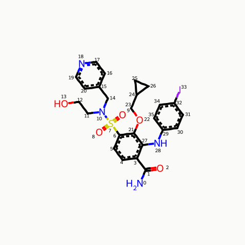 NC(=O)c1ccc(S(=O)(=O)N(CCO)Cc2ccncc2)c(OCC2CC2)c1Nc1ccc(I)cc1